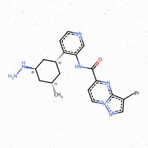 CC(C)c1cnn2ccc(C(=O)Nc3cnccc3[C@@H]3C[C@H](C)C[C@@H](NN)C3)nc12